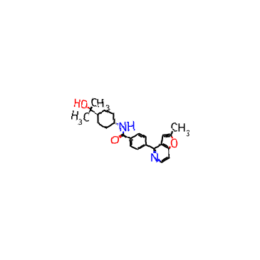 Cc1cc2c(-c3ccc(C(=O)N[C@H]4CC[C@H](C(C)(C)O)CC4)cc3)nccc2o1